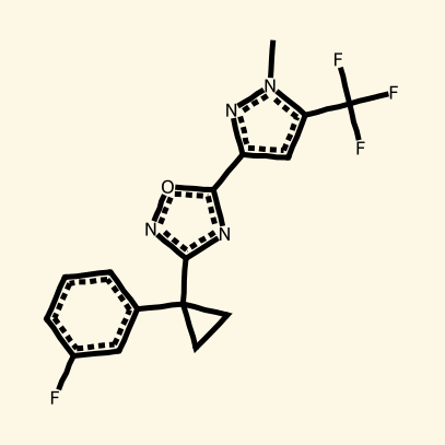 Cn1nc(-c2nc(C3(c4cccc(F)c4)CC3)no2)cc1C(F)(F)F